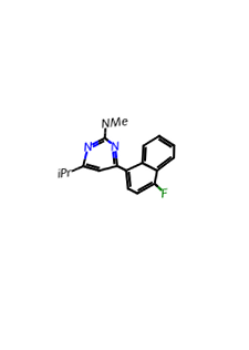 CNc1nc(-c2ccc(F)c3ccccc23)cc(C(C)C)n1